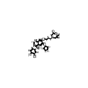 CC1(C)CN(CCCOc2cc3ncnc(Nc4ccc(F)c(Cl)c4)c3cc2OC2CCCC2)CC(=O)O1